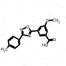 COc1cc(C(=O)O)cc(-c2nc(-c3ccc(C)cc3)no2)c1